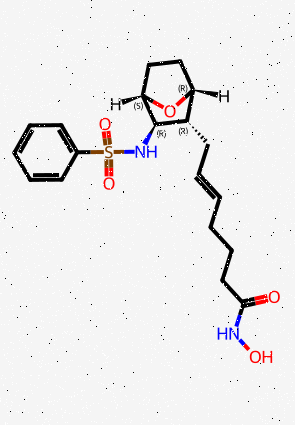 O=C(CCCC=CC[C@@H]1[C@@H](NS(=O)(=O)c2ccccc2)[C@@H]2CC[C@H]1O2)NO